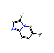 CC(C)c1ccc2ncc(Cl)n2c1